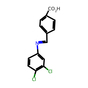 O=C(O)c1ccc(C=Nc2ccc(Cl)c(Cl)c2)cc1